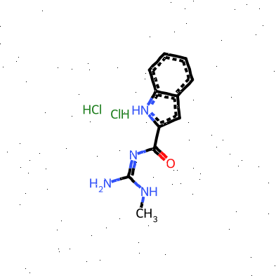 CNC(N)=NC(=O)c1cc2ccccc2[nH]1.Cl.Cl